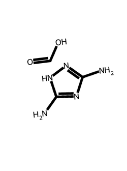 Nc1n[nH]c(N)n1.O=CO